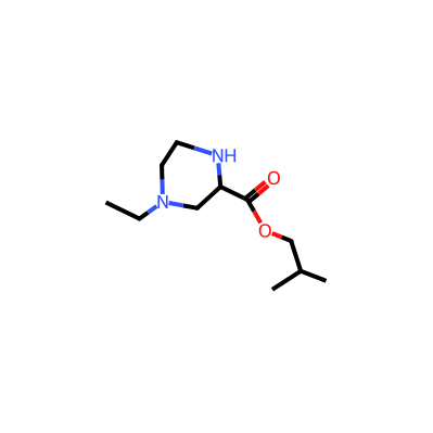 CCN1CCNC(C(=O)OCC(C)C)C1